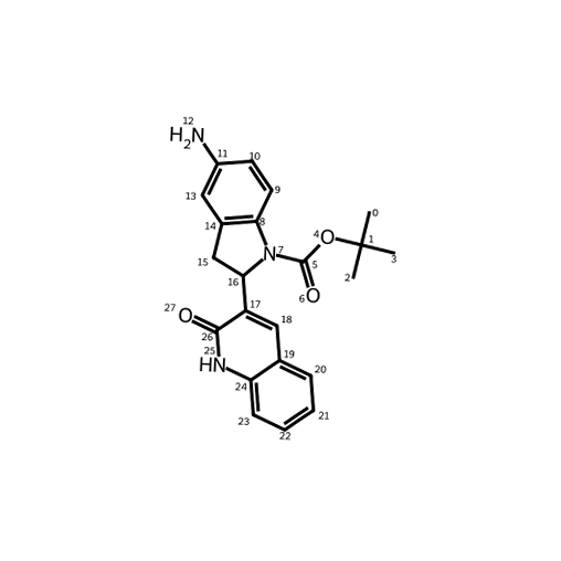 CC(C)(C)OC(=O)N1c2ccc(N)cc2CC1c1cc2ccccc2[nH]c1=O